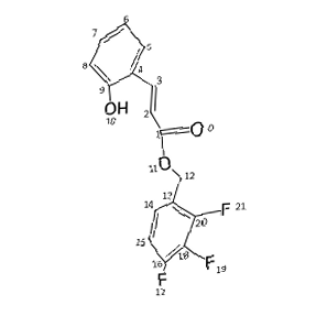 O=C(/C=C/c1ccccc1O)OCc1ccc(F)c(F)c1F